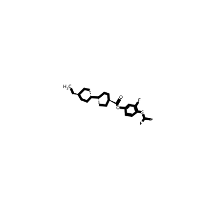 CC[C@H]1CC[C@H]([C@H]2CC[C@H](C(=O)Oc3ccc(SC(F)F)c(F)c3)CC2)CC1